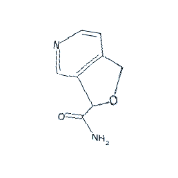 NC(=O)C1OCc2ccncc21